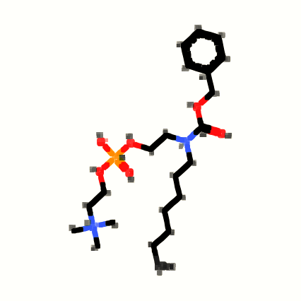 CCCCCCCCCCCCCCCCN(CCOP(=O)([O-])OCC[N+](C)(C)C)C(=O)OCc1ccccc1